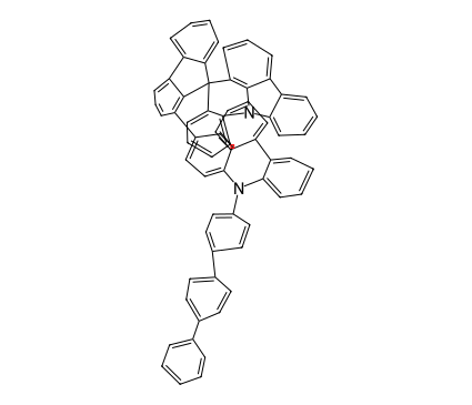 c1ccc(-c2ccc(-c3ccc(N(c4ccc(-c5cccc6c5C5(c7ccccc7-6)c6ccccc6-n6c7ccccc7c7cccc5c76)cc4)c4ccccc4-c4ccccc4)cc3)cc2)cc1